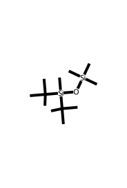 CC(C)(C)[Si](C)(O[Si](C)(C)C)C(C)(C)C